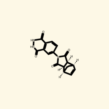 O=C1[C@@H]2[C@H](C(=O)N1c1ccc3c(=O)[nH][nH]c(=O)c3c1)[C@@H]1C=C[C@H]2CC1